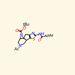 CNC(=O)Nc1nc2c(s1)C1CN(C(C)=O)CC3N(C(=O)OC(C)(C)C)C13C2